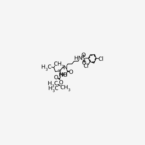 CC(C)C[C@@H](CN(CCCCNS(=O)(=O)c1ccc(Cl)cc1Cl)C(=O)O)NC(=O)OC(C)(C)C